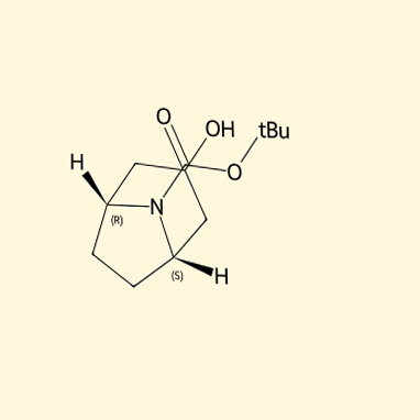 CC(C)(C)OC(=O)N1[C@@H]2CC[C@H]1CC(O)C2